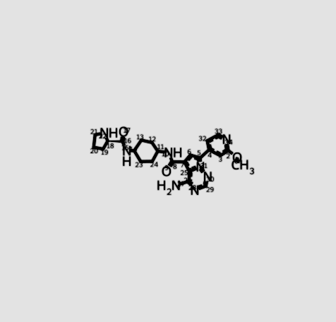 COc1cc(-c2cc(C(=O)NC3CCC(NC(=O)[C@H]4CCCN4)CC3)c3c(N)ncnn23)ccn1